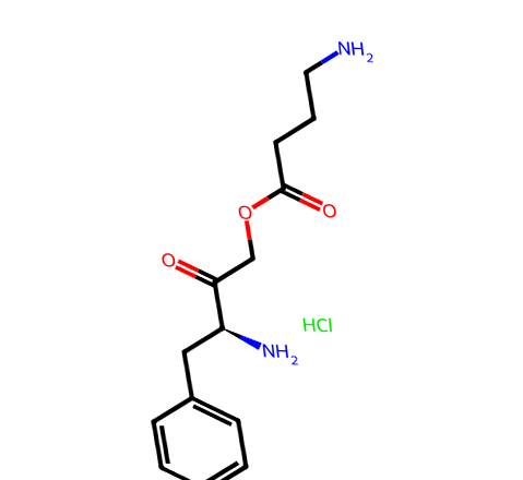 Cl.NCCCC(=O)OCC(=O)[C@@H](N)Cc1ccccc1